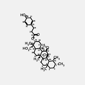 C[C@@H]1CC[C@]2(C)CC[C@]3(C)C(=CC(=O)C4[C@@]5(C)CC[C@@H](OC(=O)CCC6=CCC(O)C=C6)[C@](C)(C(=O)O)C5CC[C@]43C)C2[C@H]1C